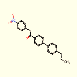 CCCc1ccc(-c2ccc(C(=O)Cc3ccc([N+](=O)[O-])cc3)cc2)cc1